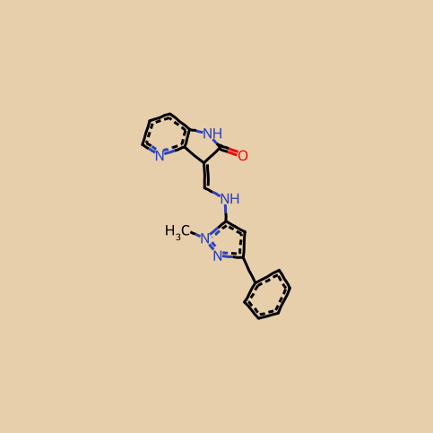 Cn1nc(-c2ccccc2)cc1NC=C1C(=O)Nc2cccnc21